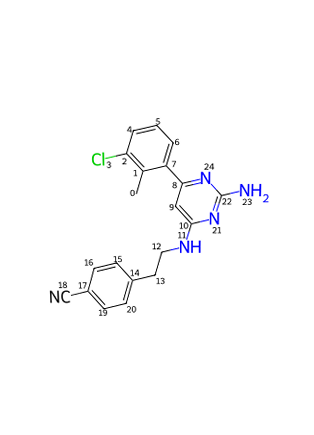 Cc1c(Cl)cccc1-c1cc(NCCc2ccc(C#N)cc2)nc(N)n1